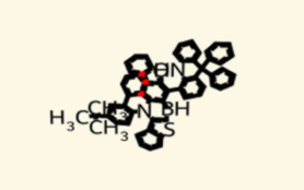 CC(C)(C)c1ccc(N2c3cc4c(oc5ccccc54)c(-c4cccc5c4Nc4ccccc4C5(c4ccccc4)c4ccccc4)c3Bc3sc4ccccc4c32)c(-c2ccccc2)c1